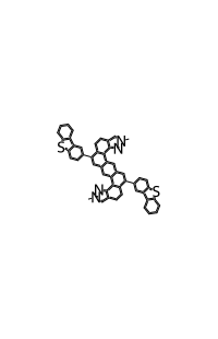 Cn1cc2ccc3c(-c4ccc5sc6ccccc6c5c4)cc4cc5c(cc(-c6ccc7sc8ccccc8c7c6)c6ccc7cn(C)nc7c65)cc4c3c2n1